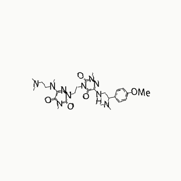 COc1ccc(C(CNc2nn(C)c(=O)n(CCn3nc(N(C)CCN(C)C)c(=O)n(C)c3=O)c2=O)N(C)C)cc1